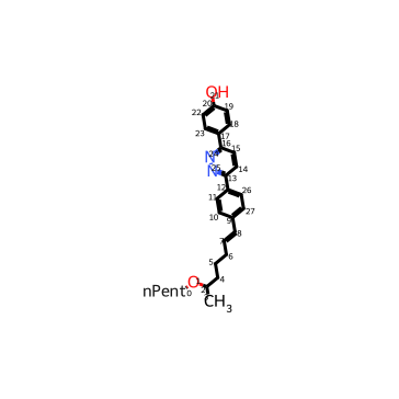 CCCCCOC(C)CCC/C=C/c1ccc(-c2ccc(-c3ccc(O)cc3)nn2)cc1